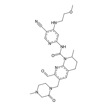 COCCNc1cc(NC(=O)N2c3nc(C=O)c(CN4CCN(C)CC4=O)cc3CCC2C)ncc1C#N